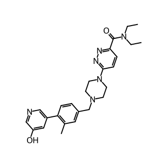 CCN(CC)C(=O)c1ccc(N2CCN(Cc3ccc(-c4cncc(O)c4)c(C)c3)CC2)nn1